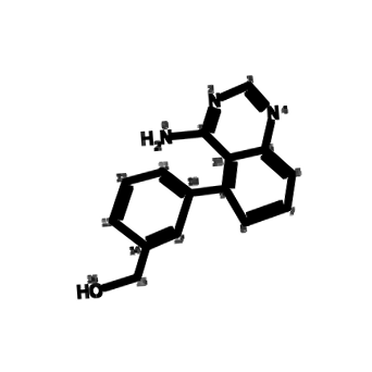 Nc1ncnc2cccc(-c3cccc(CO)c3)c12